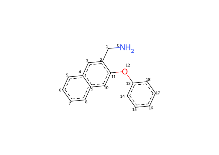 NCc1cc2ccccc2cc1Oc1ccccc1